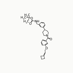 CC(C)(C)OC(=O)NCc1cccc(C2CCN(C(=O)c3cccc(OCC=C4CCC4)c3)CC2)c1